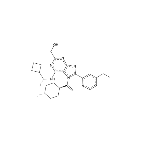 C=C([C@H]1CC[C@H](C)CC1)n1c(-c2cc(C(C)C)ccn2)nc2nc(CO)nc(N[C@H](C)C3CCC3)c21